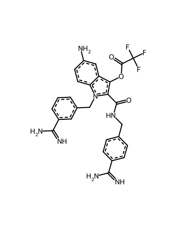 N=C(N)c1ccc(CNC(=O)c2c(OC(=O)C(F)(F)F)c3cc(N)ccc3n2Cc2cccc(C(=N)N)c2)cc1